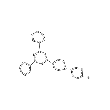 Brc1ccc(-c2ccc(-c3cc(-c4ccccc4)nc(-c4ccccc4)n3)cc2)cc1